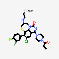 C=CC(=O)N1CCN(c2nc(=O)n3c4c(c(-c5ccc(F)c(Cl)c5)c(Cl)cc24)SCC(NCCOC)C3)CC1